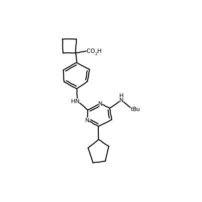 CC(C)(C)Nc1cc(C2CCCC2)nc(Nc2ccc(C3(C(=O)O)CCC3)cc2)n1